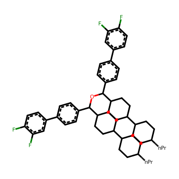 CCCC1CCC(C2CCC(C(OC(c3ccc(-c4ccc(F)c(F)c4)cc3)C3CCC(C4CCC(CCC)CC4)CC3)c3ccc(-c4ccc(F)c(F)c4)cc3)CC2)CC1